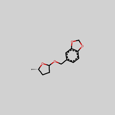 C[C@H]1CCC(OCc2ccc3c(c2)OCO3)O1